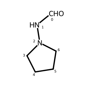 O=CNN1CCCC1